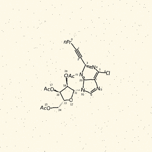 CCCC#Cc1nc(Cl)c2ncn([C@@H]3O[C@H](COC(C)=O)[C@@H](OC(C)=O)[C@H]3OC(C)=O)c2n1